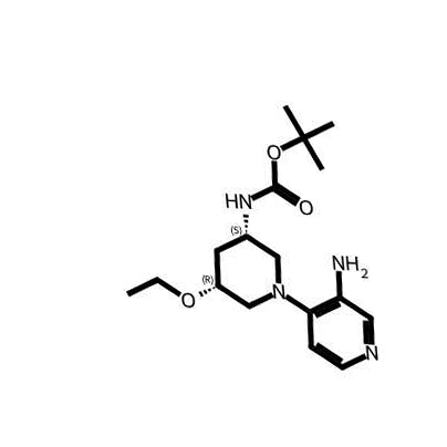 CCO[C@@H]1C[C@H](NC(=O)OC(C)(C)C)CN(c2ccncc2N)C1